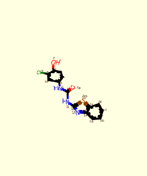 O=C(Nc1ccc(O)c(Cl)c1)Nc1nc2ccccc2s1